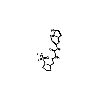 CS(=O)(=O)N1CCCC1CCNC(=O)Nc1cnc2[nH]ccc2n1